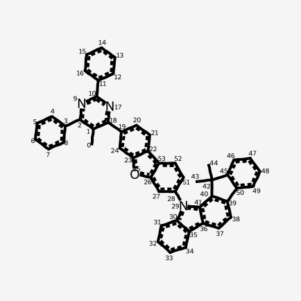 Cc1c(-c2ccccc2)nc(-c2ccccc2)nc1-c1ccc2c(c1)oc1cc(-n3c4ccccc4c4ccc5c(c43)C(C)(C)c3ccccc3-5)ccc12